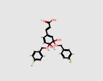 O=C(O)C=CC1=CC(O)(OCc2ccc(F)cc2)C(O)(OCc2ccc(F)cc2)C=C1